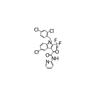 O=C(Nc1ccccn1)C(=O)c1c(C(F)(F)F)n(Cc2ccc(Cl)cc2Cl)c2ccc(Cl)cc12